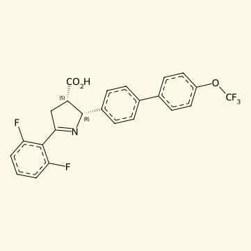 O=C(O)[C@H]1CC(c2c(F)cccc2F)=N[C@H]1c1ccc(-c2ccc(OC(F)(F)F)cc2)cc1